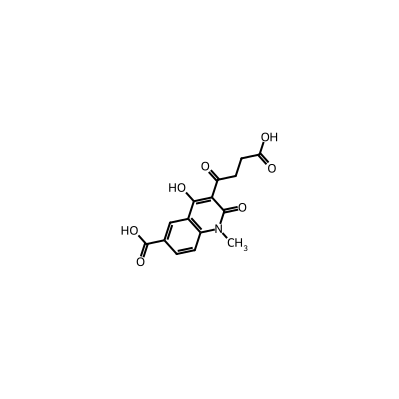 Cn1c(=O)c(C(=O)CCC(=O)O)c(O)c2cc(C(=O)O)ccc21